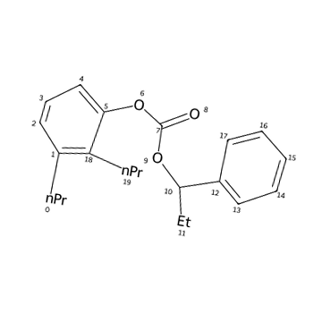 CCCc1cccc(OC(=O)OC(CC)c2ccccc2)c1CCC